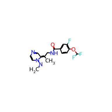 C=NN1C=CN=C/C1=C(/C)CNC(=O)c1ccc(OC(F)F)c(F)c1